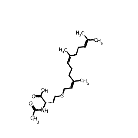 CC(=O)N[C@@H](CCSCC=C(C)CCC=C(C)CCC=C(C)C)C(=O)O